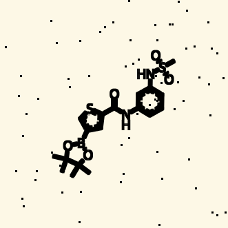 CC1(C)OB(c2csc(C(=O)Nc3cccc(NS(C)(=O)=O)c3)c2)OC1(C)C